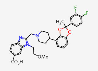 COCCn1c(CN2CCC(c3cccc4c3OC(C)(c3ccc(F)c(F)c3)O4)CC2)nc2ccc(C(=O)O)cc21